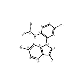 Cc1nn(-c2cc(Cl)ccc2OC(F)F)c2cc(Br)cnc12